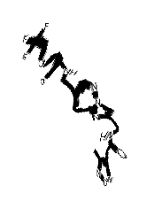 Cc1nonc1C(=O)NCc1cn2ncc(CNC(=O)COCC(F)(F)F)cc2n1